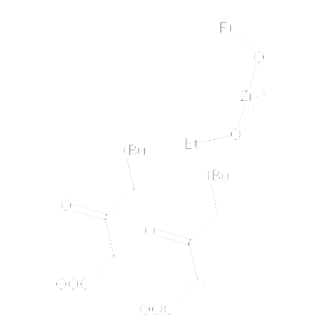 CC(C)(C)CC(=O)CC(=O)[O-].CC(C)(C)CC(=O)CC(=O)[O-].CC[O][Zr+2][O]CC